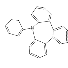 C1=CCCC(N2c3ccccc3-c3ccccc3-c3ccccc32)=C1